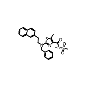 Cc1sc(N(CCc2ccc3ccccc3c2)Cc2ccccc2)nc1C(=O)NS(C)(=O)=O